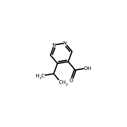 CC(C)c1cnncc1C(=O)O